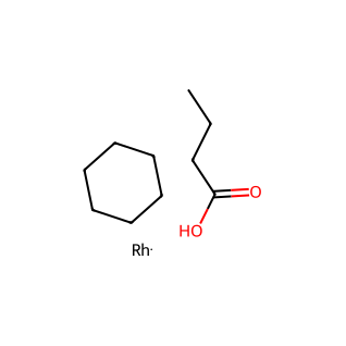 C1CCCCC1.CCCC(=O)O.[Rh]